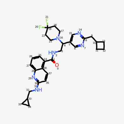 O=C(NCC(c1cnc(CC2CCC2)nc1)N1CCC(F)(F)CC1)c1cccc2nc(NCC3CC3)ccc12